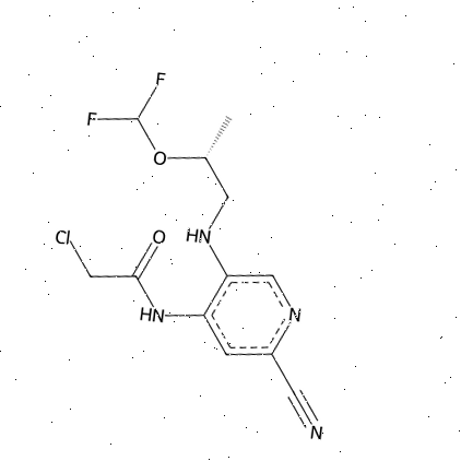 C[C@H](CNc1cnc(C#N)cc1NC(=O)CCl)OC(F)F